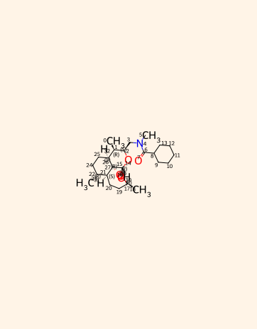 C[C@H]1[C@@H](CN(C)C(=O)C2CCCCC2)O[C@@H]2O[C@@]3(C)CC[C@H]4[C@H](C)CC[C@@H]1[C@@]24OO3